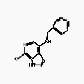 Clc1ncc(NCc2ccccc2)c2cc[nH]c12